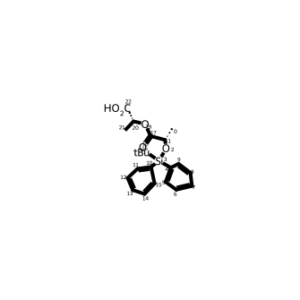 C[C@H](O[Si](c1ccccc1)(c1ccccc1)C(C)(C)C)C(=O)O[C@H](C)C(=O)O